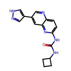 O=C(Nc1ccc2ncc(-c3cn[nH]c3)cc2n1)NC1CCC1